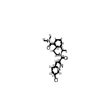 CC1c2cccc(C(=O)N(C)C)c2CCN1C(=O)c1cc2ccc(Cl)cn2n1